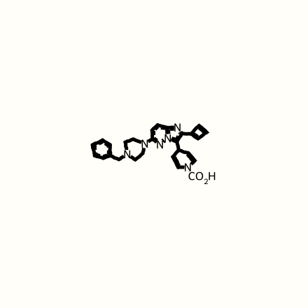 O=C(O)N1C=CC(c2c(C3=CC=C3)nc3ccc(N4CCN(Cc5ccccc5)CC4)nn23)C=C1